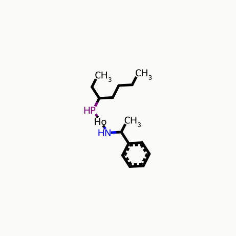 CCCCC(CC)[PH][Ho][NH]C(C)c1ccccc1